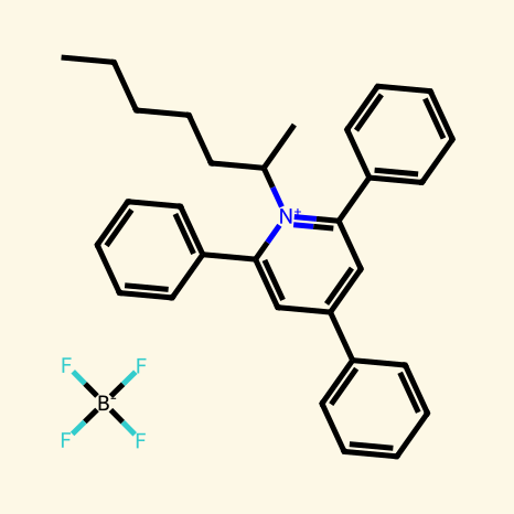 CCCCCC(C)[n+]1c(-c2ccccc2)cc(-c2ccccc2)cc1-c1ccccc1.F[B-](F)(F)F